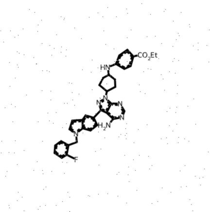 CCOC(=O)c1ccc(NC2CCC(n3nc(-c4ccc5c(ccn5Cc5ccccc5F)c4)c4c(N)ncnc43)CC2)cc1